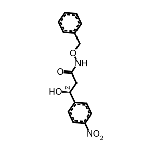 O=C(C[C@H](O)c1ccc([N+](=O)[O-])cc1)NOCc1ccccc1